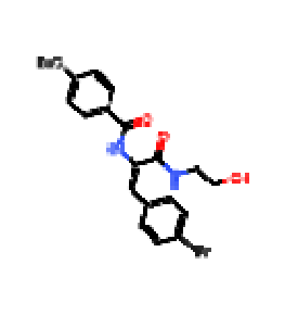 CC(C)COc1ccc(C(=O)NC(=Cc2ccc(C(C)C)cc2)C(=O)NCCO)cc1